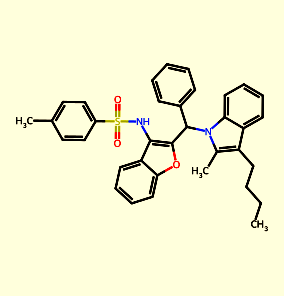 CCCCc1c(C)n(C(c2ccccc2)c2oc3ccccc3c2NS(=O)(=O)c2ccc(C)cc2)c2ccccc12